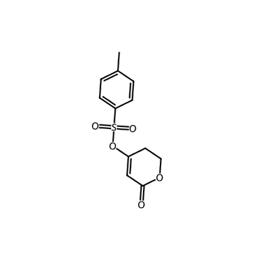 Cc1ccc(S(=O)(=O)OC2=CC(=O)OCC2)cc1